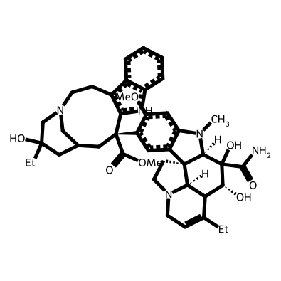 CCC1=CCN2CC[C@]34c5cc([C@@]6(C(=O)OC)CC7CN(CCc8c6[nH]c6ccccc86)CC(O)(CC)C7)c(OC)cc5N(C)[C@H]3C(O)(C(N)=O)[C@H](O)C1[C@@H]24